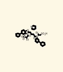 CCC(=Cc1oc2ccc(-c3ccccc3)cc2[n+]1C(CC)CS(=O)(=O)O)C=C1Oc2ccc(-c3ccccc3)cc2N1CC(CC)S(=O)(=O)[O-].c1ccncc1